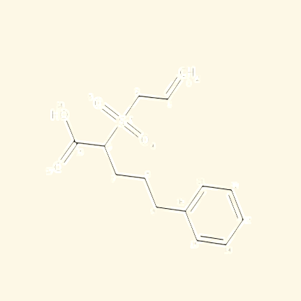 C=CCS(=O)(=O)C(CCCc1ccccc1)C(=O)O